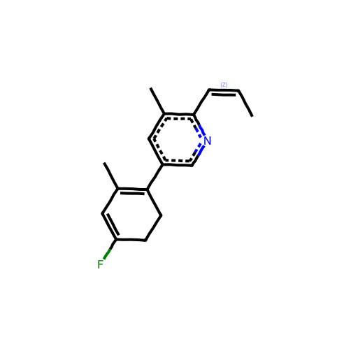 C/C=C\c1ncc(C2=C(C)C=C(F)CC2)cc1C